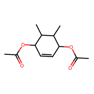 CC(=O)OC1C=CC(OC(C)=O)C(C)C1C